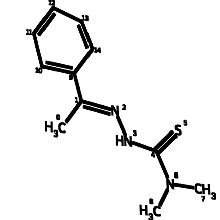 CC(=NNC(=S)N(C)C)c1ccccc1